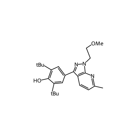 COCCn1nc(-c2cc(C(C)(C)C)c(O)c(C(C)(C)C)c2)c2ccc(C)nc21